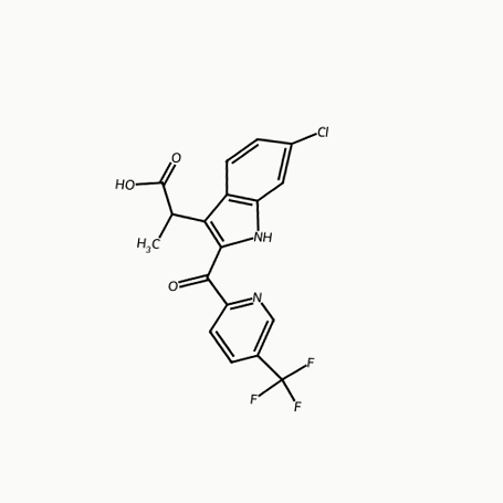 CC(C(=O)O)c1c(C(=O)c2ccc(C(F)(F)F)cn2)[nH]c2cc(Cl)ccc12